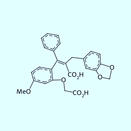 COc1ccc(C(=C(Cc2ccc3c(c2)OCO3)C(=O)O)c2ccccc2)c(OCC(=O)O)c1